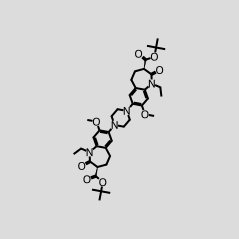 CCN1C(=O)[C@H](C(=O)OC(C)(C)C)CCc2cc(N3CCN(c4cc5c(cc4OC)N(CC)C(=O)[C@H](C(=O)OC(C)(C)C)CC5)CC3)c(OC)cc21